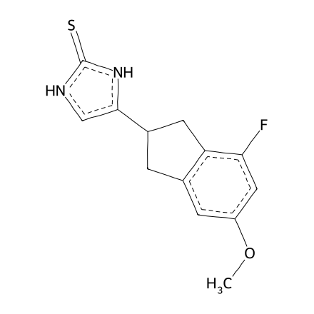 COc1cc(F)c2c(c1)CC(c1c[nH]c(=S)[nH]1)C2